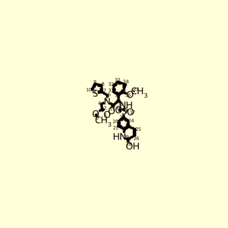 COC(=O)CN(Cc1cccs1)C(=O)[C@H](NS(=O)(=O)c1ccc2c(c1)C=CC(O)N2)c1ccccc1OC